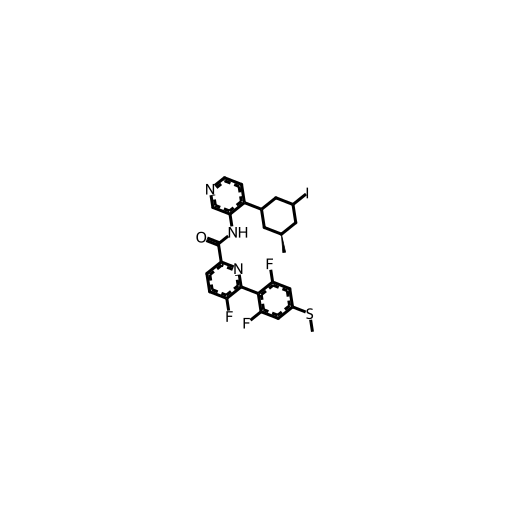 CSc1cc(F)c(-c2nc(C(=O)Nc3cnccc3C3CC(I)C[C@@H](C)C3)ccc2F)c(F)c1